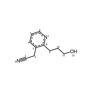 N#CCc1cccnc1CCCO